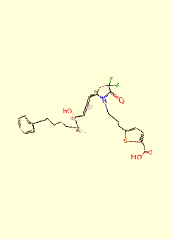 C[C@H](CCCCc1ccccc1)[C@H](O)/C=C/[C@H]1CC(F)(F)C(=O)N1CCCc1ccc(C(=O)O)s1